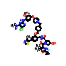 CNc1nc(Nc2ccc(OC3CCN(CC4CCC(COc5cc(-c6scnc6C)ccc5CNC(=O)[C@@H]5C[C@@H](O)CN5C(=O)C(NC(=O)C5(F)CC5)C(C)(C)C)CC4)CC3)cc2OC)ncc1Cl